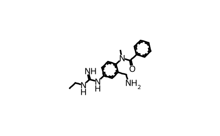 CCNC(=N)Nc1ccc(N(C)C(=O)c2ccccc2)c(CN)c1